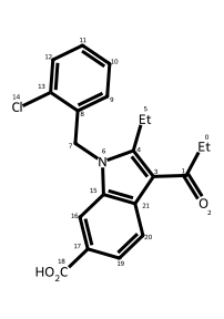 CCC(=O)c1c(CC)n(Cc2ccccc2Cl)c2cc(C(=O)O)ccc12